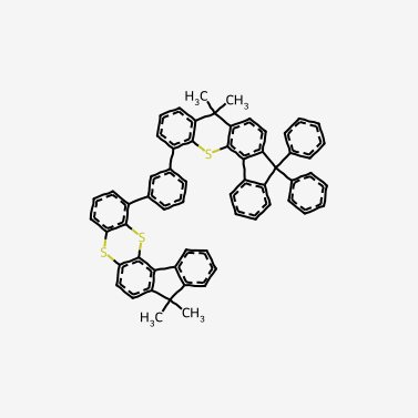 CC1(C)c2cccc(-c3cccc(-c4cccc5c4Sc4c(ccc6c4-c4ccccc4C6(C)C)S5)c3)c2Sc2c1ccc1c2-c2ccccc2C1(c1ccccc1)c1ccccc1